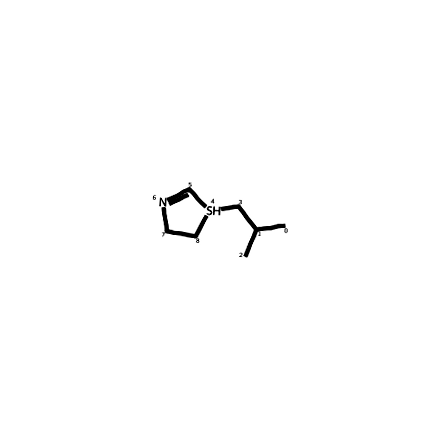 CC(C)C[SH]1[C]=NCC1